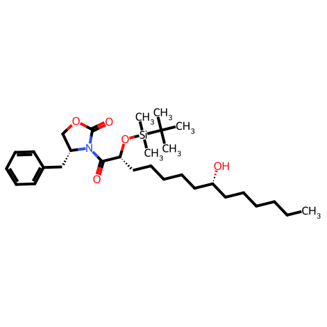 CCCCCC[C@@H](O)CCCCC[C@@H](O[Si](C)(C)C(C)(C)C)C(=O)N1C(=O)OC[C@H]1Cc1ccccc1